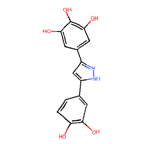 Oc1ccc(-c2cc(-c3cc(O)c(O)c(O)c3)n[nH]2)cc1O